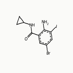 Nc1c(I)cc(Br)cc1C(=O)NC1CC1